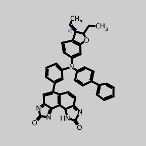 C/C=C1/c2ccc(N(c3ccc(-c4ccccc4)cc3)c3cccc(-c4cc5c(c6c4C=CC4=NC(=O)NC46)=NC(=O)N=5)c3)cc2OC1CC